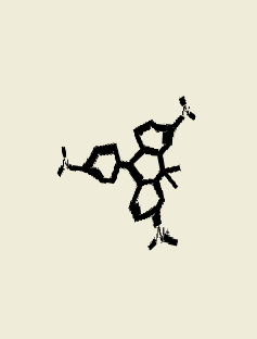 CN(C)c1ccc(C2=C3C=CC(=[N+](C)C)C=C3C(C)(C)c3cc(N(C)C)ccc32)cc1